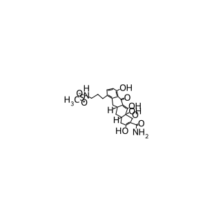 CS(=O)(=O)NCCCc1ccc(O)c2c1C[C@H]1C[C@H]3CC(O)=C(C(N)=O)C(=O)[C@@]3(O)C(O)=C1C2=O